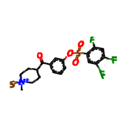 C[N+]1([S-])CCC(C(=O)c2cccc(OS(=O)(=O)c3cc(F)c(F)cc3F)c2)CC1